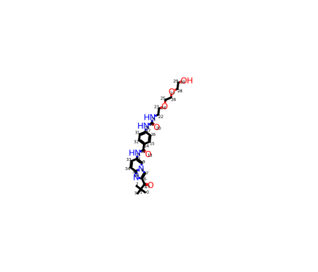 CC(C)(C)C(=O)c1cn2cc(NC(=O)c3ccc(NC(=O)NCCOCCOCCO)cc3)ccc2n1